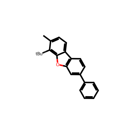 Cc1ccc2c(oc3cc(-c4ccccc4)ccc32)c1C(C)(C)C